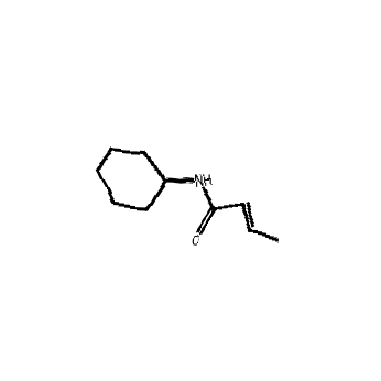 CC=CC(=O)NC1CCCCC1